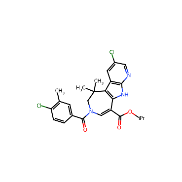 Cc1cc(C(=O)N2C=C(C(=O)OC(C)C)c3[nH]c4ncc(Cl)cc4c3C(C)(C)C2)ccc1Cl